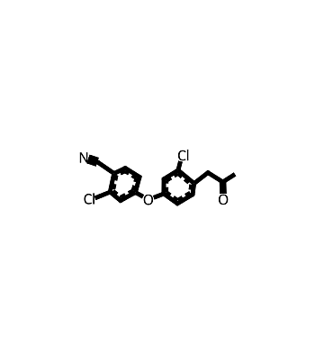 CC(=O)Cc1ccc(Oc2ccc(C#N)c(Cl)c2)cc1Cl